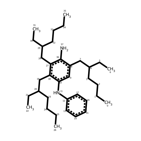 CCCCC(CC)Cc1cc(Nc2ccccc2)c(CC(CC)CCCC)c(CC(CC)CCCC)c1N